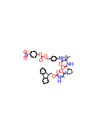 CC(C)[C@H](NC(=O)[C@@H]1CCCN1C(=O)[C@H](C)NC(=O)OCC1c2ccccc2-c2ccccc21)C(=O)Nc1ccc(COC(=O)Oc2ccc([N+](=O)[O-])cc2)cc1